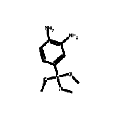 CO[Si](OC)(OC)c1ccc(N)c(N)c1